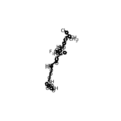 CC1(C)CCC(c2ccc(Cl)cc2)=C(CN2CCN(c3ccc(C(=O)NS(=O)(=O)c4ccc(N[C@H](CCN5CCN(C(=O)CCCN6C=C(COCCOCCOCCNc7cccc8c7C(=O)N(C7CCC(=O)NC7=O)C8=O)NN6)CC5)CSc5ccccc5)c(S(=O)(=O)C(F)(F)F)c4)cc3)CC2)C1